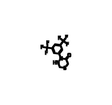 O=C1CSCNN1c1cc(C(F)(F)F)cc(C(F)(F)F)c1